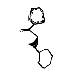 O=C(/C=C/C1CCCCC1)c1ccccn1